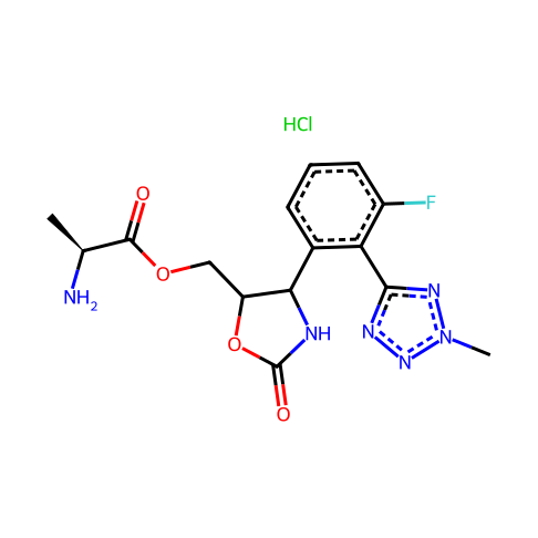 C[C@H](N)C(=O)OCC1OC(=O)NC1c1cccc(F)c1-c1nnn(C)n1.Cl